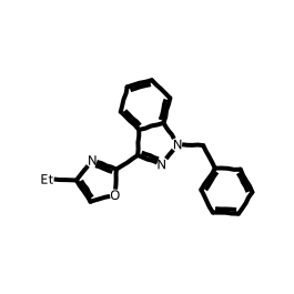 CCc1coc(-c2nn(Cc3ccccc3)c3ccccc23)n1